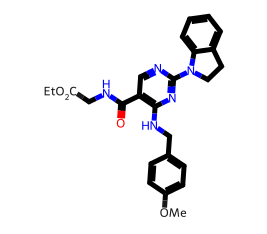 CCOC(=O)CNC(=O)c1cnc(N2CCc3ccccc32)nc1NCc1ccc(OC)cc1